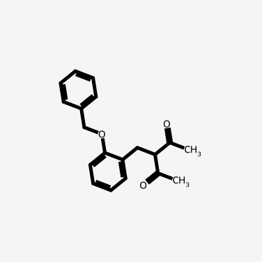 CC(=O)C(Cc1ccccc1OCc1ccccc1)C(C)=O